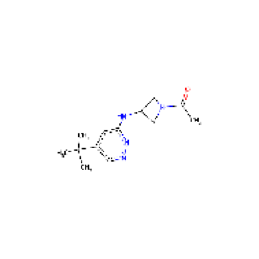 CC(=O)N1CC(Nc2cc(C(C)(C)C)cnn2)C1